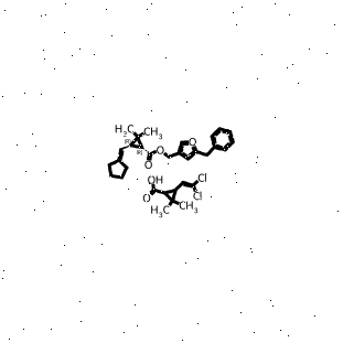 CC1(C)C(C=C(Cl)Cl)C1C(=O)O.CC1(C)[C@H](C=C2CCCC2)[C@H]1C(=O)OCc1coc(Cc2ccccc2)c1